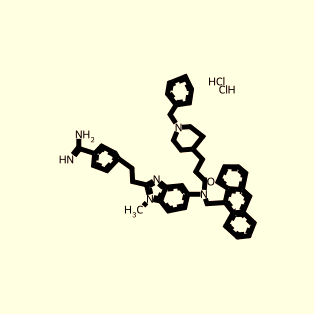 Cl.Cl.Cn1c(CCc2ccc(C(=N)N)cc2)nc2cc(N(Cc3c4ccccc4cc4ccccc34)C(=O)CCC3CCN(Cc4ccccc4)CC3)ccc21